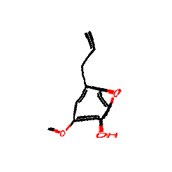 C=CCc1cc(OC)c(O)c2c1O2